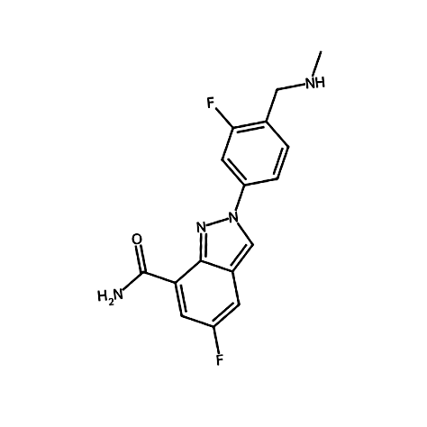 CNCc1ccc(-n2cc3cc(F)cc(C(N)=O)c3n2)cc1F